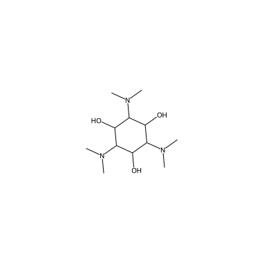 CN(C)C1C(O)C(N(C)C)C(O)C(N(C)C)C1O